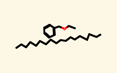 CCCCCCCCCCCCCCCCCC.CCOCc1ccccc1